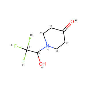 O=C1CCN(C(O)C(F)(F)F)CC1